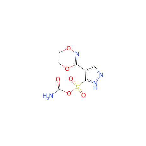 NC(=O)OS(=O)(=O)c1[nH]ncc1C1=NOCCO1